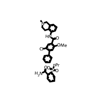 CCCS(=O)(=O)c1ccccc1C(N)=O.COc1cc(-c2ccccc2)c(Cl)cc1C(=O)Nc1cccc2c1CCN(C)C2